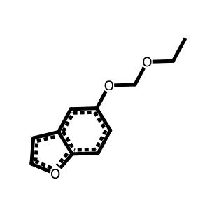 CCOCOc1ccc2occc2c1